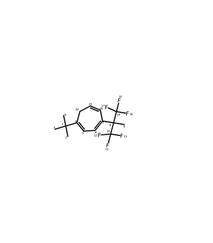 CC(C)(C)C1=CC=C(C(C)(C(F)(F)F)C(F)(F)F)C=CC1